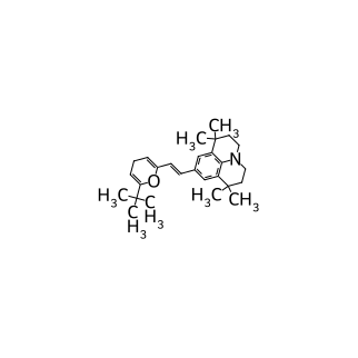 CC(C)(C)C1=CCC=C(C=Cc2cc3c4c(c2)C(C)(C)CCN4CCC3(C)C)O1